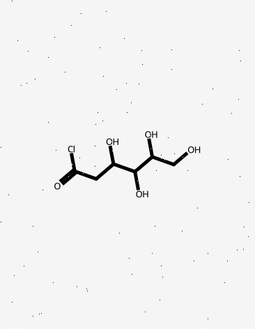 O=C(Cl)CC(O)C(O)C(O)CO